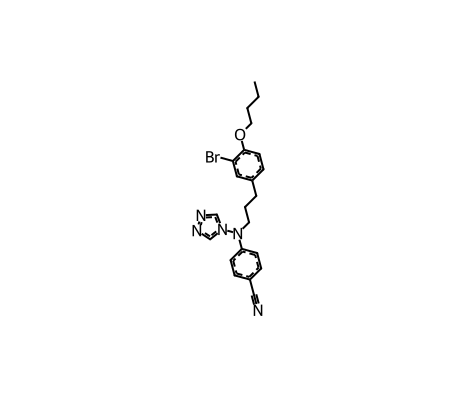 CCCCOc1ccc(CCCN(c2ccc(C#N)cc2)n2cnnc2)cc1Br